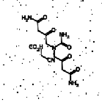 N#CCC(=O)O.NC(=O)CC(=O)CN(CC(=O)CC(N)=O)C(N)=O